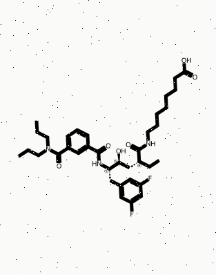 CCCN(CCC)C(=O)c1cccc(C(=O)N[C@@H](Cc2cc(F)cc(F)c2)[C@@H](O)C[C@@H](CC)C(=O)NCCCCCCCC(=O)O)c1